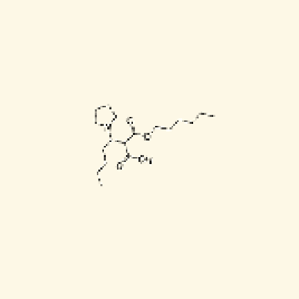 CCCCCCOC(=O)C(C(=O)O)C(CCCC)N1CCCC1